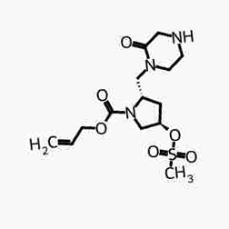 C=CCOC(=O)N1C[C@H](OS(C)(=O)=O)C[C@H]1CN1CCNCC1=O